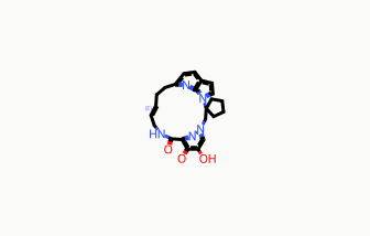 O=C1NC/C=C/CCc2ccc3ccn(c3n2)C2(CCCC2)Cn2cc(O)c(=O)c1n2